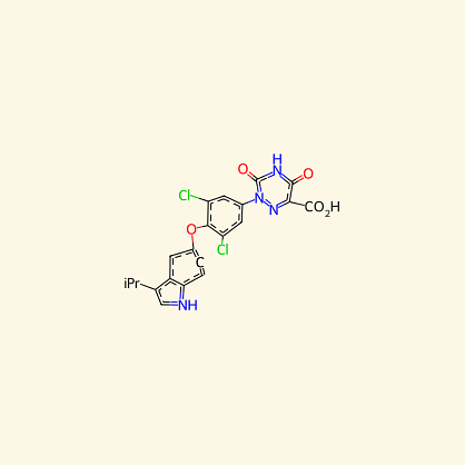 CC(C)c1c[nH]c2ccc(Oc3c(Cl)cc(-n4nc(C(=O)O)c(=O)[nH]c4=O)cc3Cl)cc12